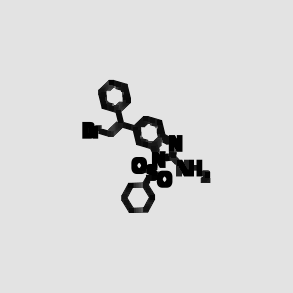 Nc1nc2ccc(C(=CBr)c3ccccc3)cc2n1S(=O)(=O)C1CCCCC1